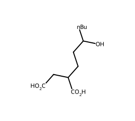 CCCCC(O)CCC(CC(=O)O)C(=O)O